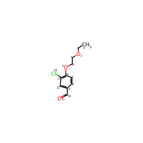 CCOCCOc1ccc(C=O)cc1Cl